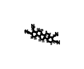 N#Cc1ccc2c(ccc3c2ccc2c4ccc(C#N)c(C#N)c4ccc23)c1C#N